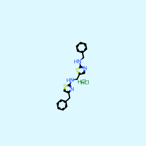 Cl.Cl.c1ccc(CNc2ncc(CNc3nc(Cc4ccccc4)cs3)s2)cc1